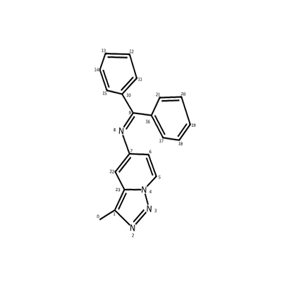 Cc1nnn2ccc(N=C(c3ccccc3)c3ccccc3)cc12